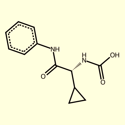 O=C(O)N[C@@H](C(=O)Nc1ccccc1)C1CC1